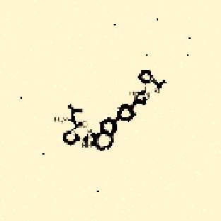 CC(=O)N1CCC[C@H]1c1ncc(-c2ccc(-c3ccc4c(c3)CCCc3[nH]c([C@@H]5CCCN5C(=O)[C@@H](N)C(C)C)nc3-4)cc2)[nH]1